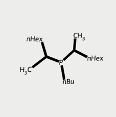 CCCCCCC(C)P(CCCC)C(C)CCCCCC